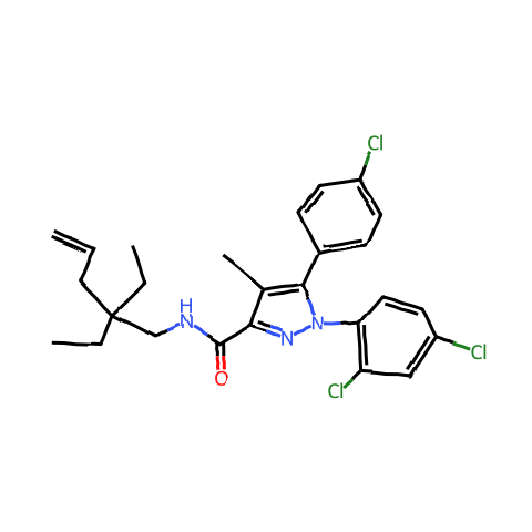 C=CCC(CC)(CC)CNC(=O)c1nn(-c2ccc(Cl)cc2Cl)c(-c2ccc(Cl)cc2)c1C